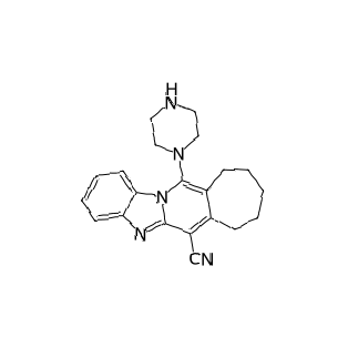 N#Cc1c2c(c(N3CCNCC3)n3c1nc1ccccc13)CCCCC2